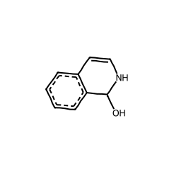 O[C]1NC=Cc2ccccc21